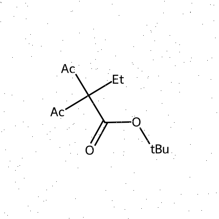 CCC(C(C)=O)(C(C)=O)C(=O)OC(C)(C)C